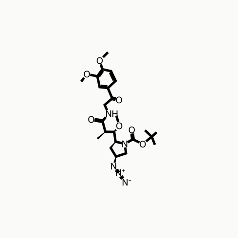 COc1ccc(C(=O)CNC(=O)[C@H](C)[C@@H](OC)[C@@H]2C[C@H](N=[N+]=[N-])CN2C(=O)OC(C)(C)C)cc1OC